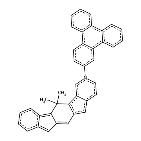 CC1(C)C2=c3ccccc3=CC2=Cc2cc3ccn(-c4ccc5c6ccccc6c6ccccc6c5c4)cc-3c21